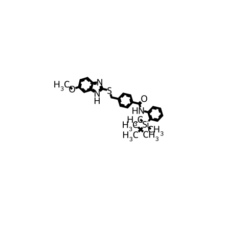 COc1ccc2nc(SCc3ccc(C(=O)Nc4ccccc4[Si](C)(C)C(C)(C)C)cc3)[nH]c2c1